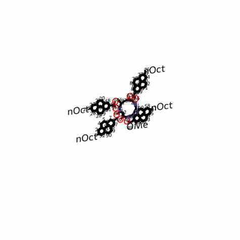 CCCCCCCCc1cc2ccc3cc(C4OC5=CC(=C6/OC(c7cc8ccc9cc(CCCCCCCC)cc%10ccc(c7)c8c9%10)OCC6CC6C\C(=C/C=C\C=C/5OC(OC)c5cc7ccc8cc(CCCCCCCC)cc9ccc(c5)c7c89)OC(c5cc7ccc8cc(CCCCCCCC)cc9ccc(c5)c7c89)O6)/O4)cc4ccc(c1)c2c34